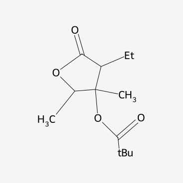 CCC1C(=O)OC(C)C1(C)OC(=O)C(C)(C)C